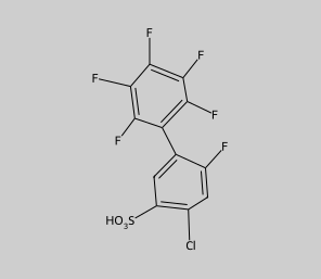 O=S(=O)(O)c1cc(-c2c(F)c(F)c(F)c(F)c2F)c(F)cc1Cl